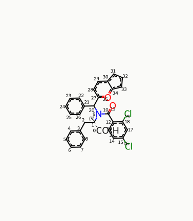 O=C(O)[C@H](Cc1ccccc1)N(C(=O)c1ccc(Cl)cc1Cl)C(c1ccccc1)c1ccc2cccc-2o1